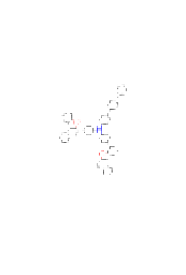 c1ccc(-c2ccc(-c3ccc(N(c4ccc(-c5cccc6c5oc5ccc7ccccc7c56)cc4)c4ccc(-c5cc6ccccc6c6c5oc5ccccc56)cc4)cc3)cc2)cc1